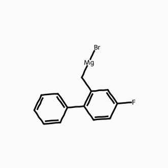 Fc1ccc(-c2ccccc2)c([CH2][Mg][Br])c1